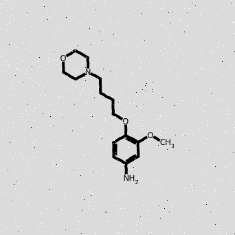 COc1cc(N)ccc1OCCCCN1CCOCC1